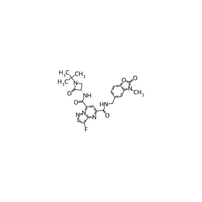 Cn1c(=O)oc2ccc(CNC(=O)c3cc(C(=O)N[C@H]4CN(C(C)(C)C)C4=O)n4ncc(F)c4n3)cc21